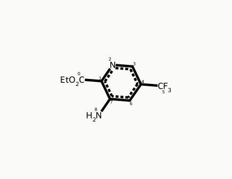 CCOC(=O)c1ncc(C(F)(F)F)cc1N